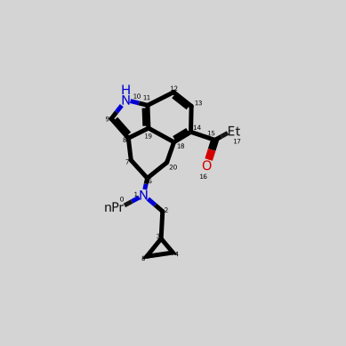 CCCN(CC1CC1)C1Cc2c[nH]c3ccc(C(=O)CC)c(c23)C1